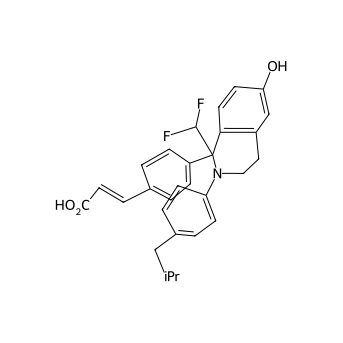 CC(C)Cc1ccc(N2CCc3cc(O)ccc3C2(c2ccc(C=CC(=O)O)cc2)C(F)F)cc1